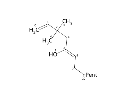 C=CC(C)(C)CC(O)=CCCCCCC